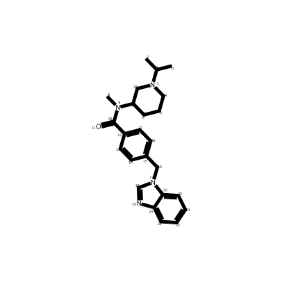 CC(C)N1CCCC(N(C)C(=O)c2ccc(Cn3cnc4ccccc43)cc2)C1